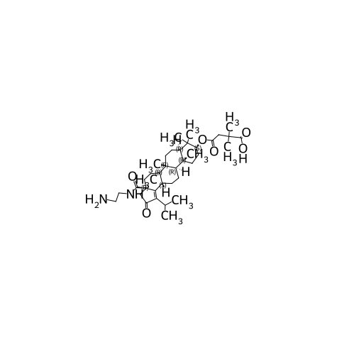 CC(C)C1=C2[C@H]3CC[C@@H]4[C@@]5(C)CC[C@H](OC(=O)CC(C)(C)C(=O)O)C(C)(C)[C@@H]5CC[C@@]4(C)[C@]3(C)CC[C@@]2(C(=O)NCCN)CC1=O